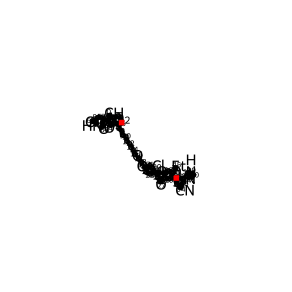 C=C1c2cccc(CCCCCCCCCOCCOc3ccc(-c4cc(=O)c5cc(-c6cc(C#N)cc(-c7c[nH]cn7)c6)c(OCC)cc5o4)c(Cl)c3)c2C(=O)N1C1CCC(=O)NC1=O